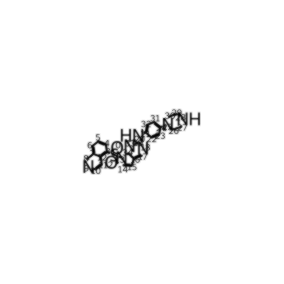 O=S(=O)(c1cccc2cnccc12)n1ccc2cnc(Nc3ccc(N4CCNCC4)cc3)nc21